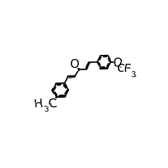 Cc1ccc(/C=C/C(=O)/C=C/c2ccc(OC(F)(F)F)cc2)cc1